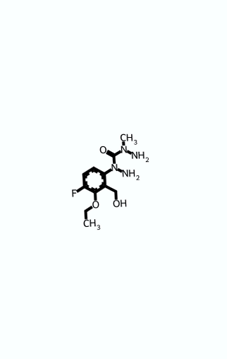 CCOc1c(F)ccc(N(N)C(=O)N(C)N)c1CO